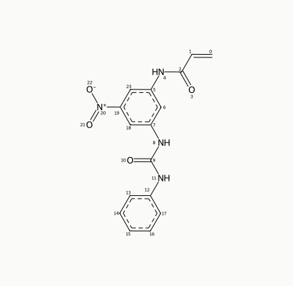 C=CC(=O)Nc1cc(NC(=O)Nc2ccccc2)cc([N+](=O)[O-])c1